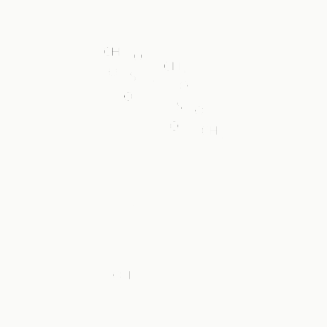 COS(=O)(=O)C(C)C(CCCCCCCCCO)S(=O)(=O)OC